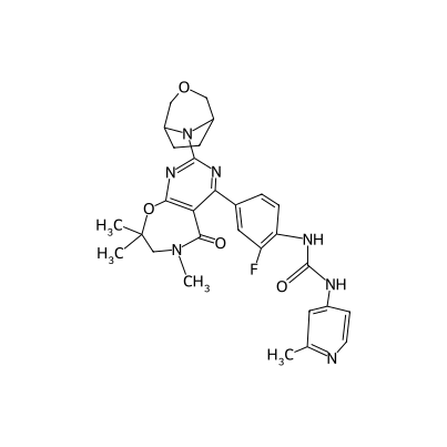 Cc1cc(NC(=O)Nc2ccc(-c3nc(N4C5CCC4COC5)nc4c3C(=O)N(C)CC(C)(C)O4)cc2F)ccn1